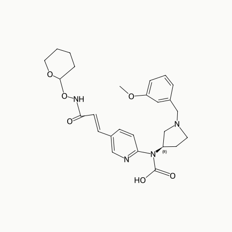 COc1cccc(CN2CC[C@@H](N(C(=O)O)c3ccc(C=CC(=O)NOC4CCCCO4)cn3)C2)c1